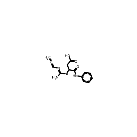 C=C=CN=C(N)NC(CC(=O)O)C(=O)Nc1ccccc1